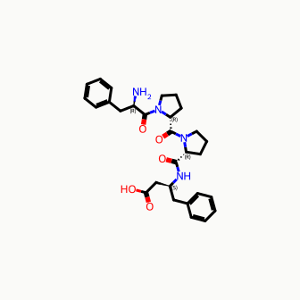 N[C@H](Cc1ccccc1)C(=O)N1CCC[C@@H]1C(=O)N1CCC[C@@H]1C(=O)N[C@H](CC(=O)O)Cc1ccccc1